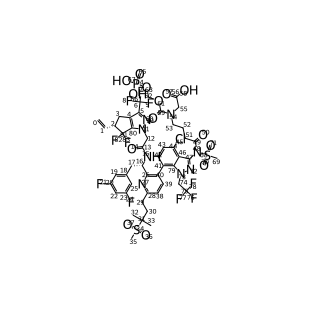 C=C[C@@H]1Cc2c(C(F)(F)F)nn(CC(=O)N[C@@H](Cc3cc(F)cc(F)c3)c3nc(CCC(C)(C)S(C)(=O)=O)ccc3-c3ccc(Cl)c4c(N(C(=O)CCCN(CC(=O)O)C(=O)OCOP(=O)(O)O)S(C)(=O)=O)nn(CC(F)(F)F)c34)c2C1(F)F